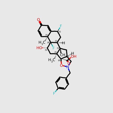 C[C@]12C[C@H](O)[C@@]3(F)[C@@H](C[C@H](F)C4=CC(=O)C=C[C@@]43C)[C@]1(C)C[C@H]1CN(Cc3ccc(F)cc3)O[C@]12C(=O)O